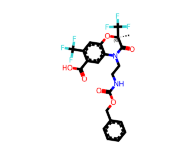 C[C@@]1(C(F)(F)F)Oc2cc(C(F)(F)F)c(C(=O)O)cc2N(CCNC(=O)OCc2ccccc2)C1=O